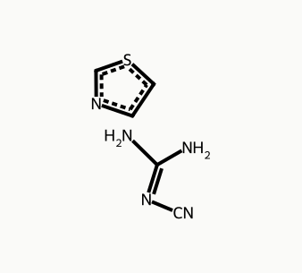 N#CN=C(N)N.c1cscn1